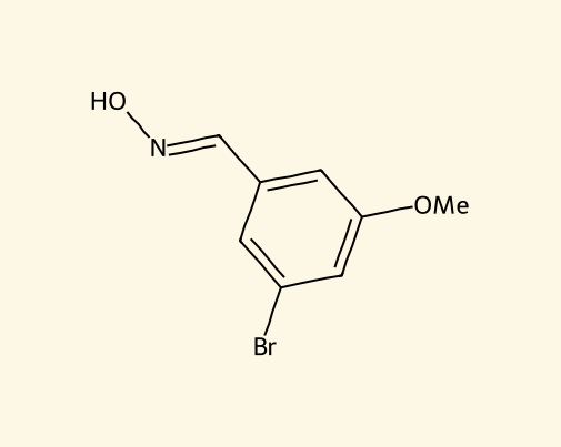 COc1cc(Br)cc(/C=N/O)c1